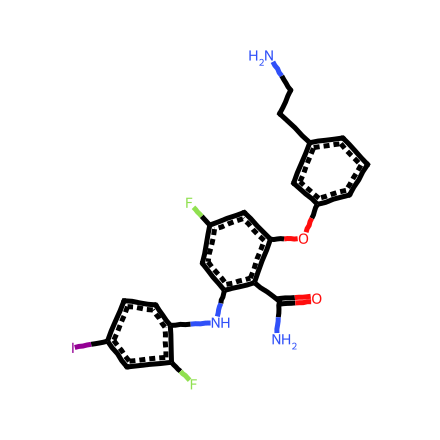 NCCc1cccc(Oc2cc(F)cc(Nc3ccc(I)cc3F)c2C(N)=O)c1